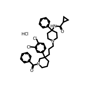 Cl.O=C(NC1(c2ccccc2)CCN(CCCC2(c3ccc(Cl)c(Cl)c3)CCCN(C(=O)c3ccccc3)C2)CC1)C1CC1